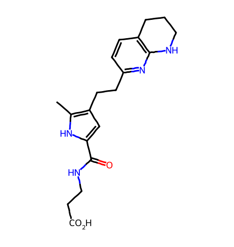 Cc1[nH]c(C(=O)NCCC(=O)O)cc1CCc1ccc2c(n1)NCCC2